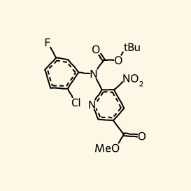 COC(=O)c1cnc(N(C(=O)OC(C)(C)C)c2cc(F)ccc2Cl)c([N+](=O)[O-])c1